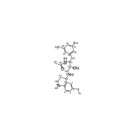 CCc1ccc2c(c1)C(NCC(O)C(Cc1cc(F)cc(F)c1)NC(C)=O)CCN2C